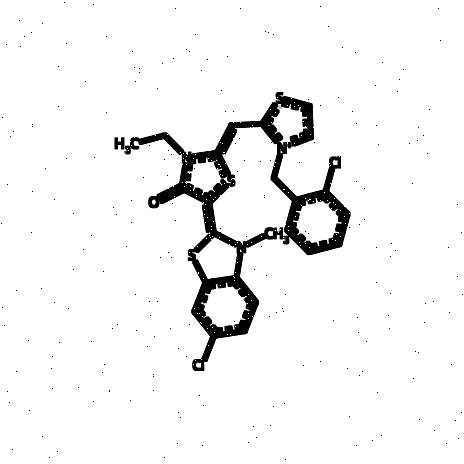 CCn1c(=O)/c(=C2\Sc3cc(Cl)ccc3N2C)s/c1=C\c1scc[n+]1Cc1ccccc1Cl